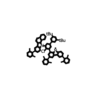 Cc1cccc(C)c1-c1ccc2c(c1)c1cc(-c3c(C)cccc3C)cc(-c3cc(-c4cc(C(C)(C)C)cc(C(C)(C)C)c4)cc(-n4c5ccc(-c6c(C)cccc6C)cc5c5ccc6ccccc6c54)c3Cl)c1n2C